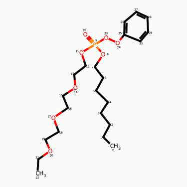 CCCCCCCCOP(=O)(OCCOCCOCCOCC)OOc1ccccc1